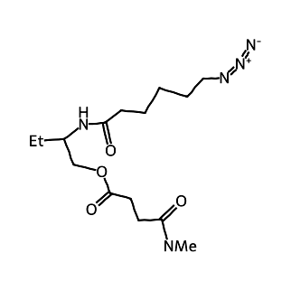 CCC(COC(=O)CCC(=O)NC)NC(=O)CCCCCN=[N+]=[N-]